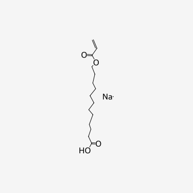 C=CC(=O)OCCCCCCCCCCCC(=O)O.[Na]